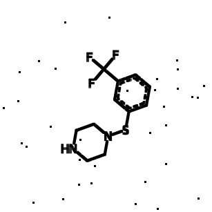 FC(F)(F)c1cccc(SN2CCNCC2)c1